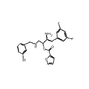 CCc1cccc(CNCC(OC(=O)c2ccno2)C(N)Cc2cc(F)cc(F)c2)c1